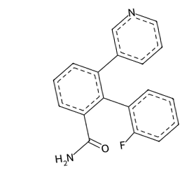 NC(=O)c1cccc(-c2cccnc2)c1-c1ccccc1F